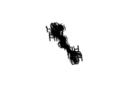 COC[C@H]1C[C@@H](c2ncc(-c3ccc4c(c3)COc3cc5c(ccc6nc([C@@H]7C[C@H]8C[C@H]8N7C(=O)[C@H](NC(=O)OC)c7ccccc7)[nH]c65)cc3-4)[nH]2)N(C(=O)[C@@H](NC(=O)OC)C(C)C)C1